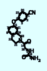 N#Cc1ccc(Oc2ccc3c(c2)CN(C(=O)CNC(N)=O)CC3)cc1